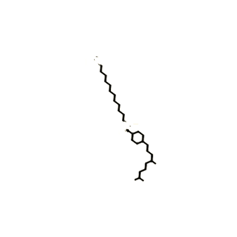 CNCCCCCCCCCCCCNC(=O)C1CCC(CCCC(C)CCCC(C)C)CC1